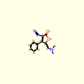 CN(C)C=C1OC(=O)C(C#N)=C1c1ccccc1